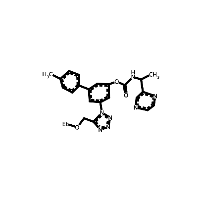 CCOCc1nnnn1-c1cc(OC(=O)NC(C)c2cnccn2)cc(-c2ccc(C)cc2)c1